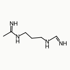 CC(=N)NCCCNC=N